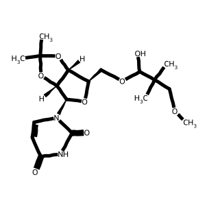 COCC(C)(C)C(O)OC[C@H]1O[C@@H](n2ccc(=O)[nH]c2=O)[C@@H]2OC(C)(C)O[C@@H]21